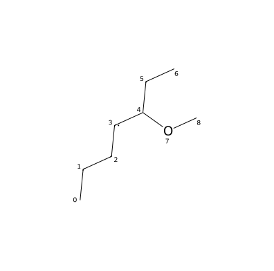 CCC[CH]C(CC)OC